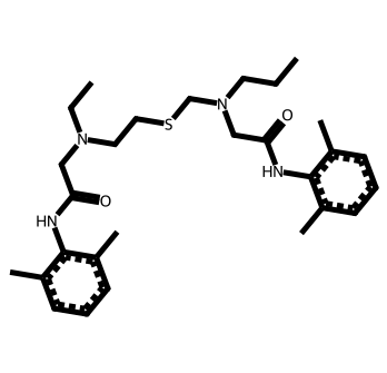 CCCN(CSCCN(CC)CC(=O)Nc1c(C)cccc1C)CC(=O)Nc1c(C)cccc1C